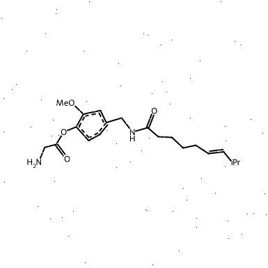 COc1cc(CNC(=O)CCCC/C=C/C(C)C)ccc1OC(=O)CN